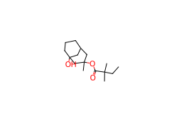 CCC(C)(C)C(=O)OC1(C)CC2CCCC(O)(C2)C1